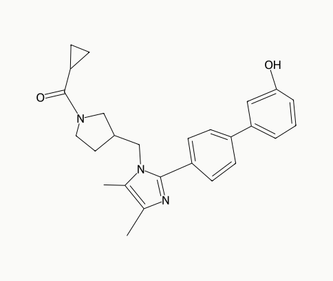 Cc1nc(-c2ccc(-c3cccc(O)c3)cc2)n(CC2CCN(C(=O)C3CC3)C2)c1C